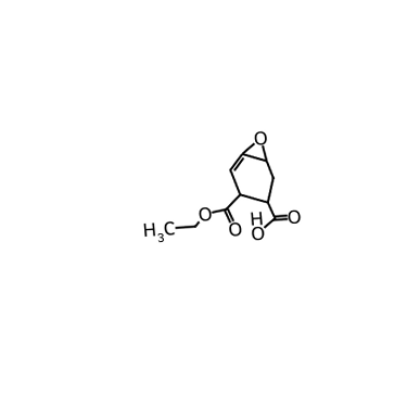 CCOC(=O)C1C=C2OC2CC1C(=O)O